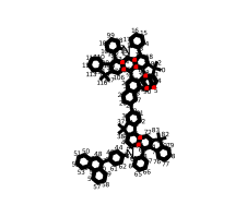 CC1(C)c2ccccc2-c2ccc(-c3ccccc3N(c3ccc(-c4cc5ccc(-c6ccc7c(c6)C(C)(C)c6cc(N(c8ccc(-c9cc%10ccccc%10c%10ccccc9%10)cc8)c8ccccc8-c8cccc9c8-c8ccccc8C9(C)C)ccc6-7)cc5c5ccccc45)cc3)c3ccccc3-c3cccc4c3-c3ccccc3C4(C)C)cc21